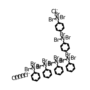 Br[N+](Br)(Br)c1ccccc1.Br[N+](Br)(Br)c1ccccc1.Br[N+](Br)(Br)c1ccccc1.Br[N+](Br)(Br)c1ccccc1.Br[N+](Br)(Br)c1ccccc1.Br[N+](Br)(Br)c1ccccc1.[Cl-].[Cl-].[Cl-].[Cl-].[Cl-].[Cl-]